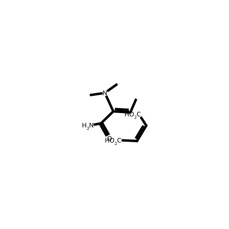 C/C=C(/C(N)=O)N(C)C.O=C(O)/C=C\C(=O)O